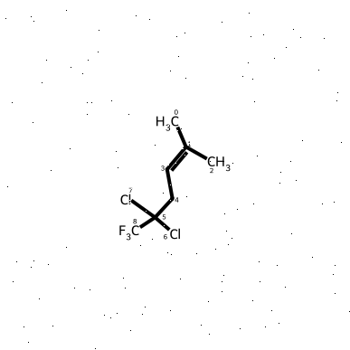 CC(C)=CCC(Cl)(Cl)C(F)(F)F